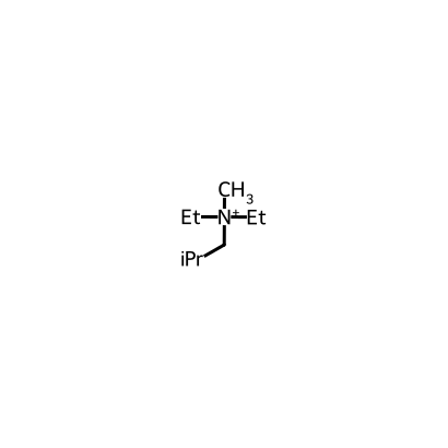 CC[N+](C)(CC)CC(C)C